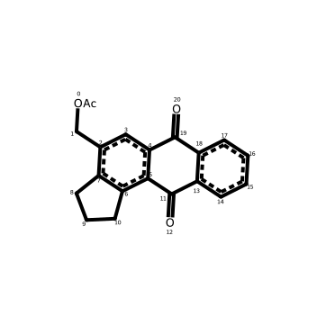 CC(=O)OCc1cc2c(c3c1CCC3)C(=O)c1ccccc1C2=O